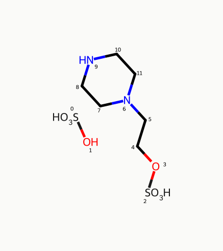 O=S(=O)(O)O.O=S(=O)(O)OCCN1CCNCC1